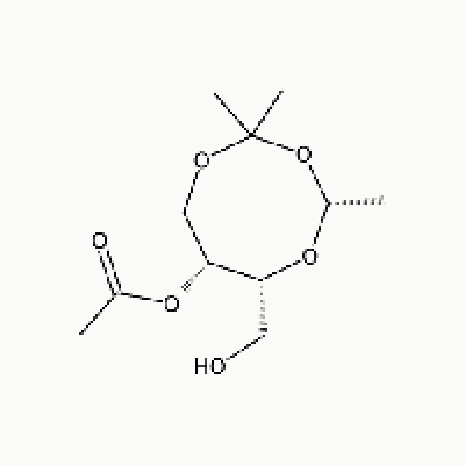 CC(=O)O[C@@H]1COC(C)(C)O[C@H](C)O[C@@H]1CO